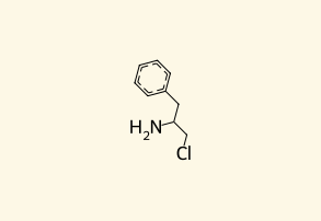 NC(CCl)Cc1ccccc1